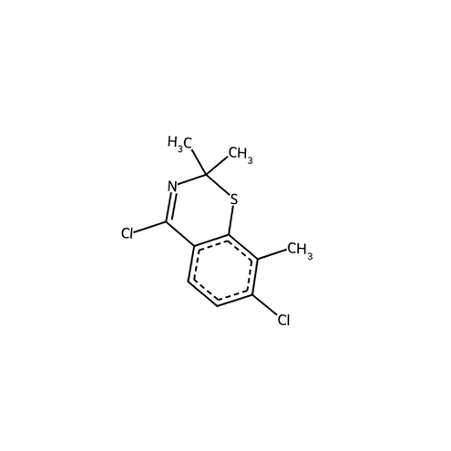 Cc1c(Cl)ccc2c1SC(C)(C)N=C2Cl